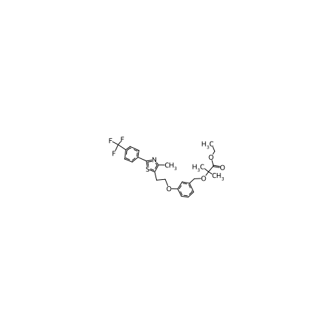 CCOC(=O)C(C)(C)OCc1cccc(OCCc2sc(-c3ccc(C(F)(F)F)cc3)nc2C)c1